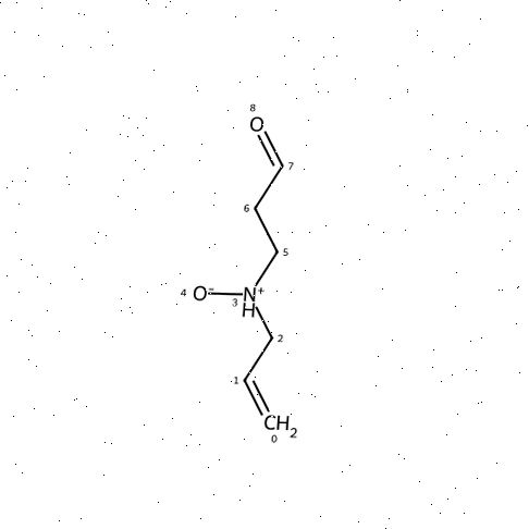 C=CC[NH+]([O-])CCC=O